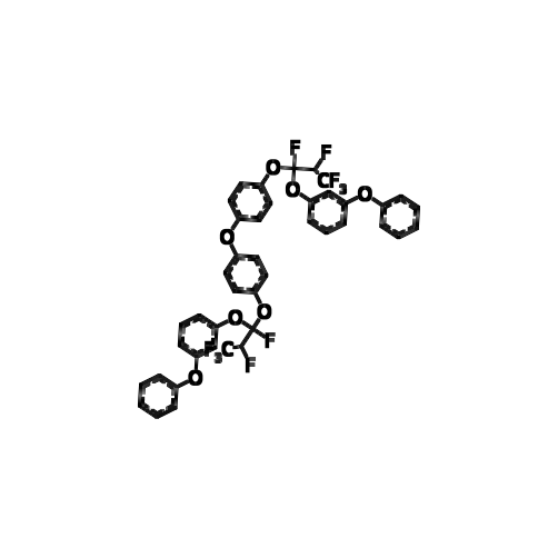 FC(C(F)(F)F)C(F)(Oc1ccc(Oc2ccc(OC(F)(Oc3cccc(Oc4ccccc4)c3)C(F)C(F)(F)F)cc2)cc1)Oc1cccc(Oc2ccccc2)c1